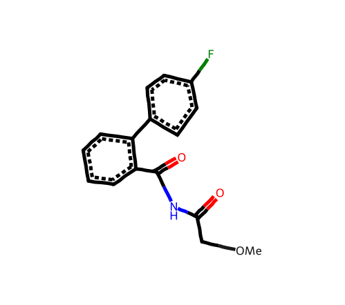 COCC(=O)NC(=O)c1ccccc1-c1ccc(F)cc1